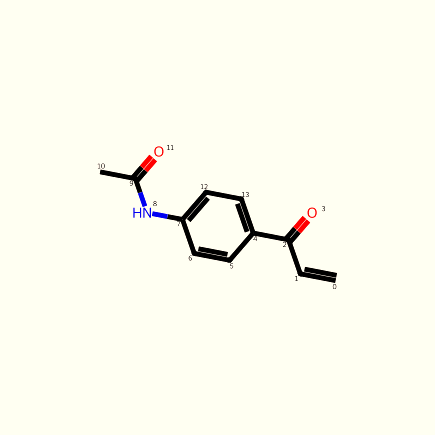 C=CC(=O)c1ccc(NC(C)=O)cc1